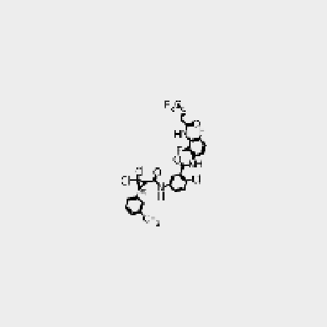 O=C(CSC(F)(F)F)Nc1c(F)ccc(NC(=O)c2cc(NC(=O)C3[C@H](c4cccc(C(F)(F)F)c4)C3(Cl)Cl)ccc2Cl)c1F